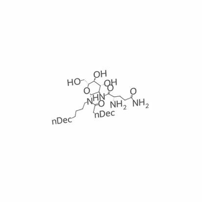 CCCCCCCCCCCCCCN(C(=O)CCCCCCCCCCC)[C@@H]1O[C@H](CO)[C@@H](O)[C@H](O)[C@H]1NC(=O)[C@@H](N)CCC(N)=O